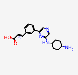 N[C@H]1CC[C@H](Nc2cncc(-c3cccc(/C=C/C(=O)O)c3)n2)CC1